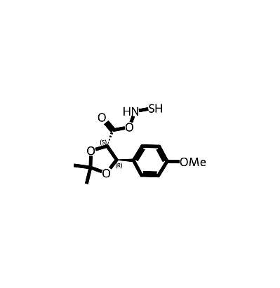 COc1ccc([C@H]2OC(C)(C)O[C@@H]2C(=O)ONS)cc1